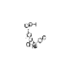 COc1ccc(-c2snc(Cl)c2COc2ccc(CCC(=O)O)c(C)c2C)cc1